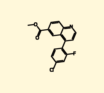 COC(=O)c1ccc2nccc(-c3ccc(Cl)cc3F)c2c1